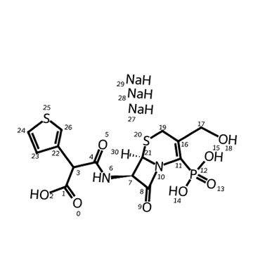 O=C(O)C(C(=O)N[C@@H]1C(=O)N2C(P(=O)(O)O)=C(CO)CS[C@H]12)c1ccsc1.[NaH].[NaH].[NaH]